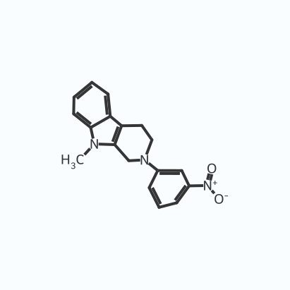 Cn1c2c(c3ccccc31)CCN(c1cccc([N+](=O)[O-])c1)C2